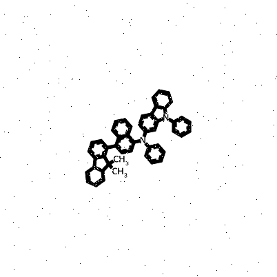 CC1(C)c2c(-c3ccc(N(c4ccccc4)c4ccc5c(c4)N(c4ccccc4)C4CC=CC=C54)c4ccccc34)cccc2C2C=CC=CC21